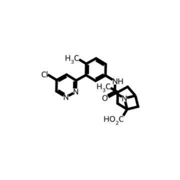 Cc1ccc(NC(=O)N2C3CC(C)CC2(C(=O)O)C3)cc1-c1cc(Cl)cnn1